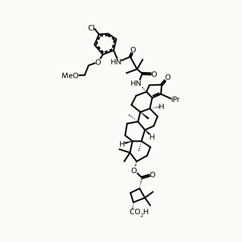 COCCOc1cc(Cl)ccc1NC(=O)C(C)(C)C(=O)N[C@@]12CC[C@]3(C)[C@H](CC[C@@H]4[C@@]5(C)CC[C@H](OC(=O)[C@H]6C[C@@H](C(=O)O)C6(C)C)C(C)(C)[C@@H]5CC[C@]43C)C1=C(C(C)C)C(=O)C2